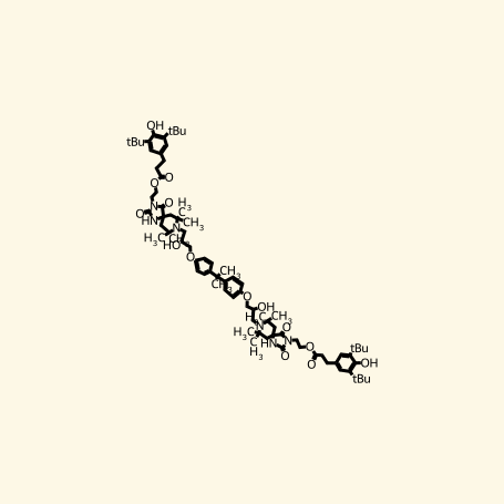 CC(C)(C)c1cc(CCC(=O)OCCN2C(=O)NC3(CC(C)(C)N(CC(O)COc4ccc(C(C)(C)c5ccc(OCC(O)CN6C(C)(C)CC7(CC6(C)C)NC(=O)N(CCOC(=O)CCc6cc(C(C)(C)C)c(O)c(C(C)(C)C)c6)C7=O)cc5)cc4)C(C)(C)C3)C2=O)cc(C(C)(C)C)c1O